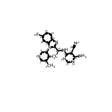 Cc1cncc(-n2c([C@H](C)Nc3ncnc(N)c3C#N)nc3ccc(F)cc32)c1